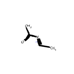 C/[C]=N/C(C)=O